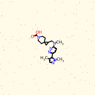 Cc1cnn(C)c1-c1ccc(N(C)CC2CC23CCN(C(=O)O)CC3)nn1